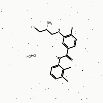 Cc1ccc(C(=O)Nc2cccc(C)c2C)cc1NC[C@@H](N)CS.Cl.Cl